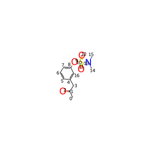 CC(=O)Cc1cccc(OS(=O)(=O)N(C)C)c1